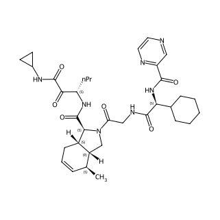 CCC[C@H](NC(=O)[C@@H]1[C@H]2CC=C[C@H](C)[C@H]2CN1C(=O)CNC(=O)[C@@H](NC(=O)c1cnccn1)C1CCCCC1)C(=O)C(=O)NC1CC1